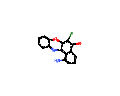 Nc1cccc2c(=O)c(Cl)c3oc4ccccc4nc-3c12